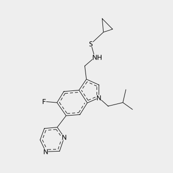 CC(C)Cn1cc(CNSC2CC2)c2cc(F)c(-c3ccncn3)cc21